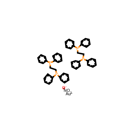 O=[N+]([O-])[O-].[Au+].c1ccc(P(CCP(c2ccccc2)c2ccccc2)c2ccccc2)cc1.c1ccc(P(CCP(c2ccccc2)c2ccccc2)c2ccccc2)cc1